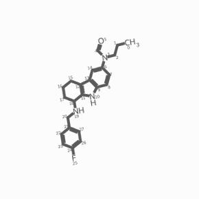 CCCN(C=O)c1ccc2[nH]c3c(c2c1)CCCC3NCc1ccc(F)cc1